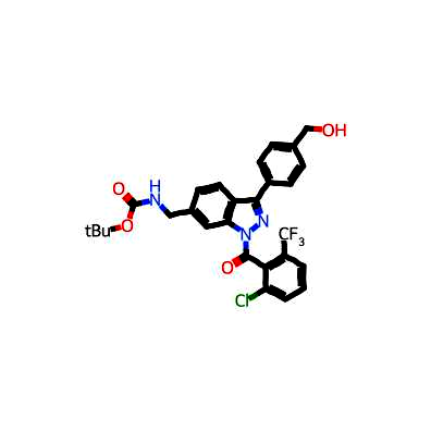 CC(C)(C)OC(=O)NCc1ccc2c(-c3ccc(CO)cc3)nn(C(=O)c3c(Cl)cccc3C(F)(F)F)c2c1